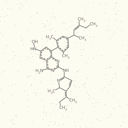 CC/C(C)=C\C(C)c1cc(C)c(-c2cc(NO)cc3c(N)nc(NC4=NC(C)/C(=C(/C)CC)C=C4)nc23)c(C)c1